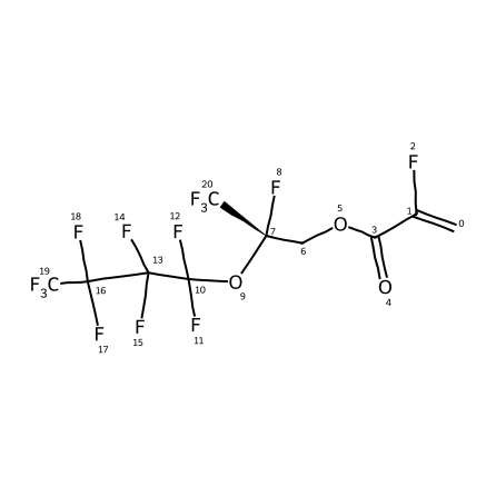 C=C(F)C(=O)OC[C@@](F)(OC(F)(F)C(F)(F)C(F)(F)C(F)(F)F)C(F)(F)F